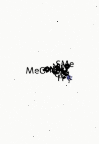 C=Cc1nc(C(C)Nc2nc(SC)nc3c2c(=O)ccn3Cc2ccc(OC)cc2)c(-c2ccccn2)cc1/C=C(\C)F